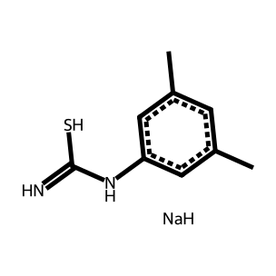 Cc1cc(C)cc(NC(=N)S)c1.[NaH]